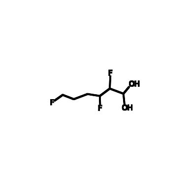 OC(O)C(F)C(F)CCCF